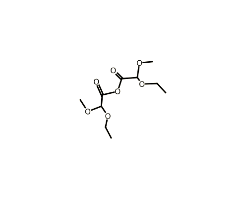 CCOC(OC)C(=O)OC(=O)C(OC)OCC